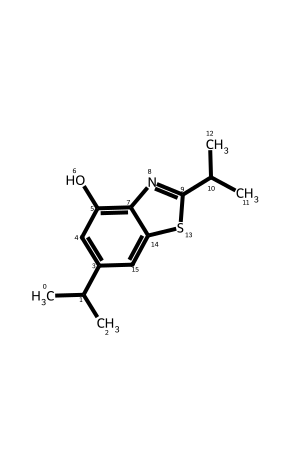 CC(C)c1cc(O)c2nc(C(C)C)sc2c1